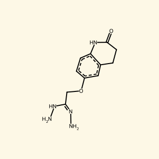 NN=C(COc1ccc2c(c1)CCC(=O)N2)NN